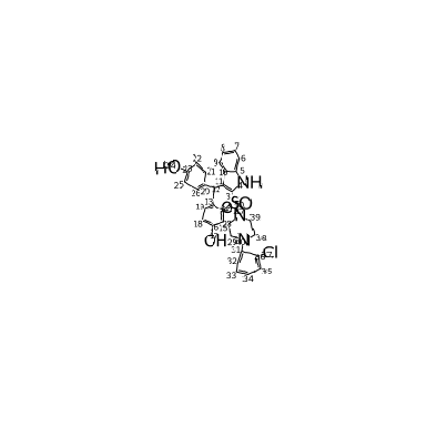 O=S(=O)(c1[nH]c2ccccc2c1C(c1ccc(O)cc1)c1ccc(O)cc1)N1CCN(c2ccccc2Cl)CC1